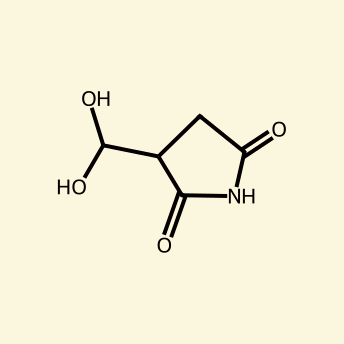 O=C1CC(C(O)O)C(=O)N1